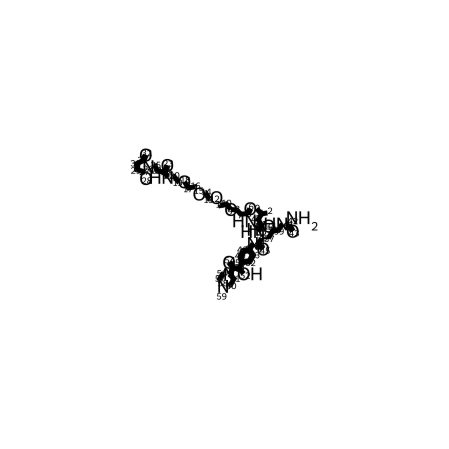 CC(C)[C@H](NC(=O)CCOCCOCCOCCOCCNC(=O)CCN1C(=O)C=CC1=O)C(=O)N[C@@H](CCCNC(N)=O)C(=O)Nc1ccc(C(O)C(=O)N2CCN(C)CC2)cc1